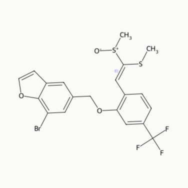 CS/C(=C\c1ccc(C(F)(F)F)cc1OCc1cc(Br)c2occc2c1)[S+](C)[O-]